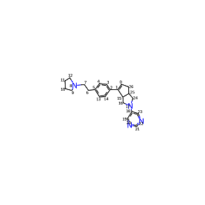 C1=C(c2ccc(CCN3CCCC3)cc2)C2CN(c3cncnc3)CC2C1